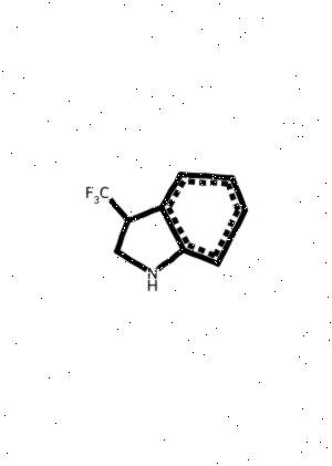 FC(F)(F)C1CNc2ccccc21